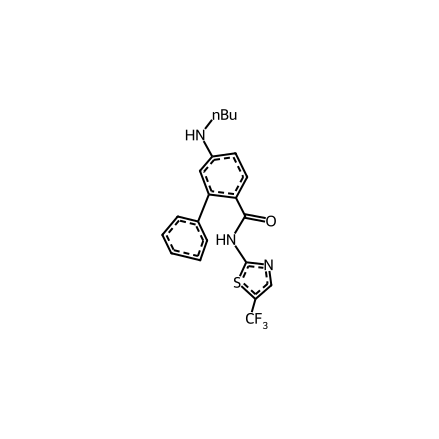 CCCCNc1ccc(C(=O)Nc2ncc(C(F)(F)F)s2)c(-c2ccccc2)c1